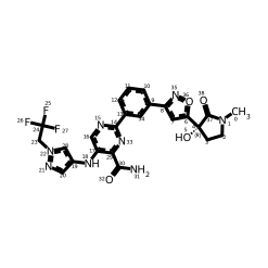 CN1CC[C@@](O)(c2cc(-c3cccc(-c4ncc(Nc5cnn(CC(F)(F)F)c5)c(C(N)=O)n4)c3)no2)C1=O